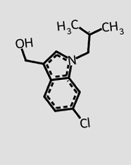 C[C](C)Cn1cc(CO)c2ccc(Cl)cc21